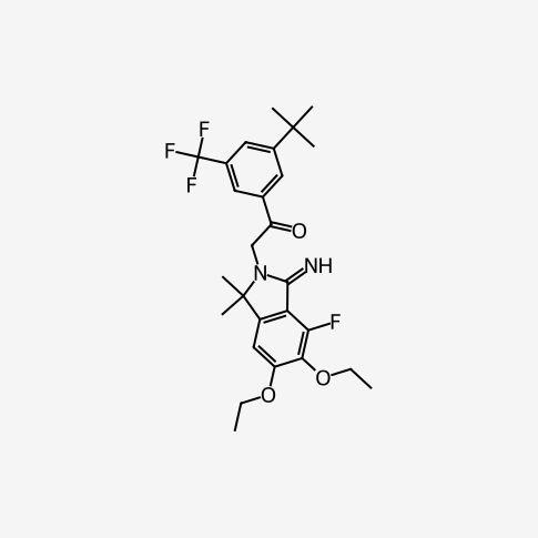 CCOc1cc2c(c(F)c1OCC)C(=N)N(CC(=O)c1cc(C(C)(C)C)cc(C(F)(F)F)c1)C2(C)C